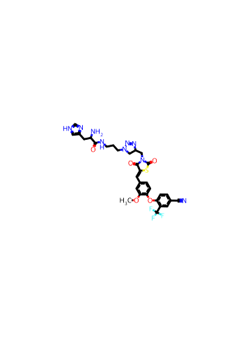 COc1cc(/C=C2\SC(=O)N(CC3CN(CCCNC(=O)C(N)Cc4c[nH]cn4)N=N3)C2=O)ccc1Oc1ccc(C#N)cc1C(F)(F)F